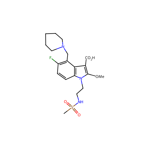 COc1c(C(=O)O)c2c(CN3CCCCC3)c(F)ccc2n1CCNS(C)(=O)=O